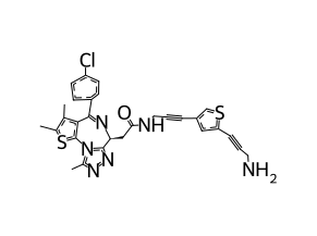 Cc1sc2c(c1C)C(c1ccc(Cl)cc1)=N[C@@H](CC(=O)NCC#Cc1csc(C#CCN)c1)c1nnc(C)n1-2